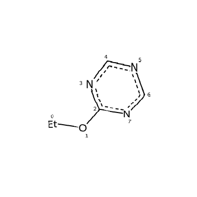 [CH2]COc1ncncn1